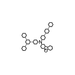 c1ccc(-c2ccc(-c3ccc(N(c4ccc(-c5cc(-c6ccccc6)cc(-c6ccccc6)c5)cc4)c4ccc5oc6ccccc6c5c4)cc3)cc2)cc1